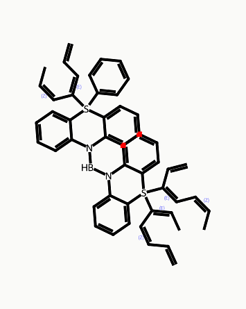 C=C/C=C\C(=C/C)S1(/C(C=C)=C/C=C\C)c2ccccc2N(BN2c3ccccc3S(C(/C=C\C)=C/C=C)(c3ccccc3)c3ccccc32)c2ccccc21